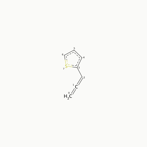 C=C=Cc1cccs1